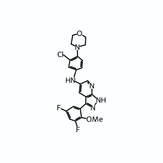 COc1c(F)cc(F)cc1-c1n[nH]c2ncc(Nc3ccc(N4CCOCC4)c(Cl)c3)cc12